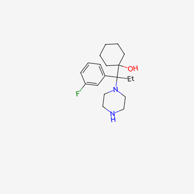 CCC(c1cccc(F)c1)(N1CCNCC1)C1(O)CCCCC1